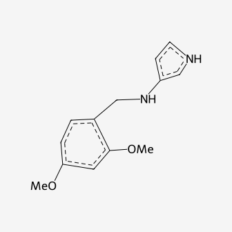 COc1ccc(CNc2cc[nH]c2)c(OC)c1